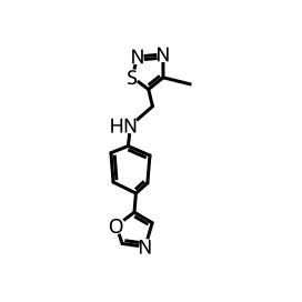 Cc1nnsc1CNc1ccc(-c2cnco2)cc1